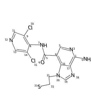 Nc1ncc(C(=O)Nc2c(Cl)cncc2Cl)c2c1ncn2CC[S]